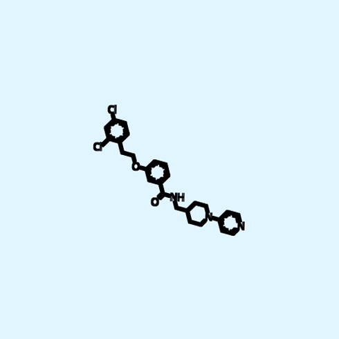 O=C(NCC1CCN(c2ccncc2)CC1)c1cccc(OCCc2ccc(Cl)cc2Cl)c1